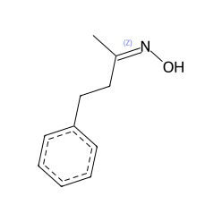 C/C(CCc1ccccc1)=N/O